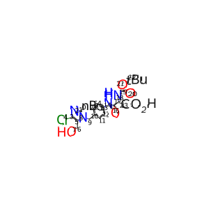 CCCCc1nc(Cl)c(CO)n1Cc1ccc(NC(=O)[C@H](NC(=O)OC(C)(C)C)C(=O)O)cc1